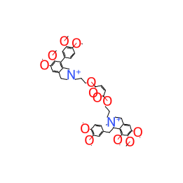 COc1ccc(CC2c3c(cc(OC)c(OC)c3OC)CC[N+]2(C)CCCOC(=O)/C=C\C(=O)OCCC[N+]2(C)CCc3cc(OC)c(OC)c(-c4ccc(OC)c(OC)c4)c3C2)cc1OC